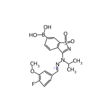 COc1cc(/C=N/N(C2=NS(=O)(=O)c3cc(B(O)O)ccc32)C(C)C)ccc1F